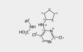 CC(C)NC(=O)O.Clc1ncc(Cl)c(NC2CCCC2)n1